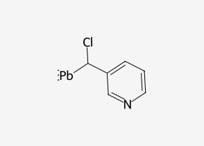 Cl[CH]([Pb])c1cccnc1